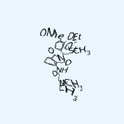 CCOc1cc(C(C[S+](C)[O-])N2C(=O)c3cccc(NC(=O)CCN(C)C)c3C2=O)ccc1OC